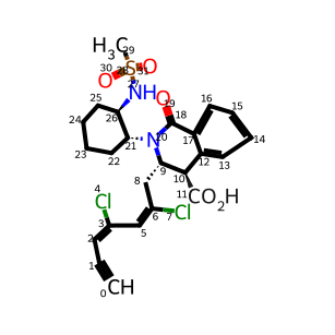 C#C/C=C(Cl)\C=C(\Cl)C[C@H]1[C@H](C(=O)O)c2ccccc2C(=O)N1[C@@H]1CCCC[C@H]1NS(C)(=O)=O